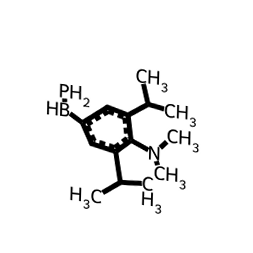 CC(C)c1cc(BP)cc(C(C)C)c1N(C)C